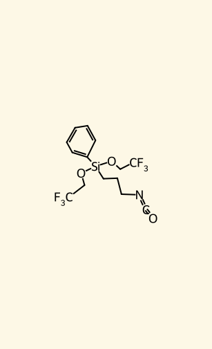 O=C=NCCC[Si](OCC(F)(F)F)(OCC(F)(F)F)c1ccccc1